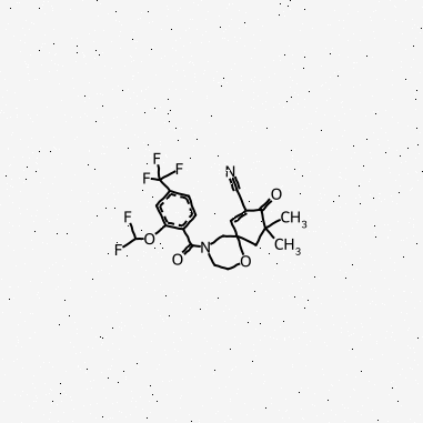 CC1(C)CC2(C=C(C#N)C1=O)CN(C(=O)c1ccc(C(F)(F)F)cc1OC(F)F)CCO2